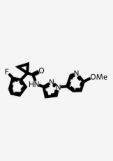 COc1ccc(-n2ccc(NC(=O)C3(c4ccccc4F)CC3)n2)cn1